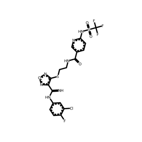 N=C(Nc1ccc(F)c(Cl)c1)c1nonc1SCCNC(=O)c1ccc(NS(=O)(=O)C(F)(F)F)nc1